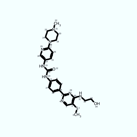 CSc1cnc(-c2ccc(NC(=O)Nc3ccc(N4CCN(C)CC4)nc3)cc2)nc1NCCO